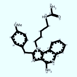 COc1ccc(Cc2nc3c(N)nc4ccccc4c3n2CCCCNC(N)=O)cc1